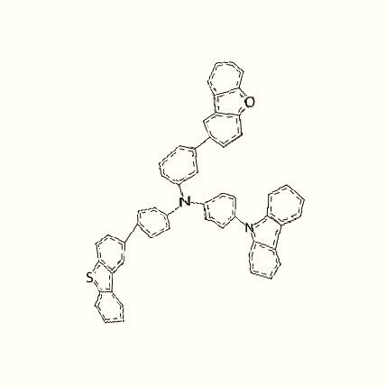 c1cc(-c2ccc3oc4ccccc4c3c2)cc(N(c2ccc(-c3ccc4sc5ccccc5c4c3)cc2)c2ccc(-n3c4ccccc4c4ccccc43)cc2)c1